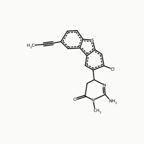 CC#Cc1ccc2sc3cc(Cl)c(C4CC(=O)N(C)C(N)=N4)cc3c2c1